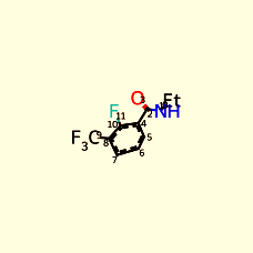 CCNC(=O)c1cccc(C(F)(F)F)c1F